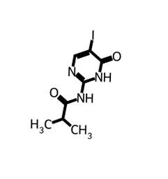 CC(C)C(=O)Nc1ncc(I)c(=O)[nH]1